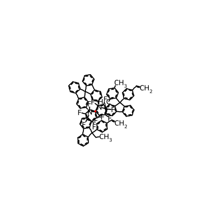 C=Cc1ccc(C2(CC)c3ccccc3-c3ccc(N(c4ccc5c(c4)C4(c6ccccc6-5)c5ccccc5-c5ccc(N(c6ccc7c(c6)C(c6ccc(C=C)cc6)(c6cc(C)ccc6C)c6ccccc6-7)c6c(F)c(F)c(F)c(F)c6F)cc54)c4c(F)c(F)c(F)c(F)c4F)cc32)cc1